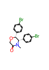 CN1C(=O)CO[C@H](c2ccc(Br)cc2)[C@@H]1c1ccc(Br)cc1